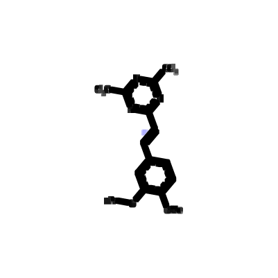 CCCOc1cc(/C=C/c2nc(C(Cl)(Cl)Cl)nc(C(Cl)(Cl)Cl)n2)ccc1OC